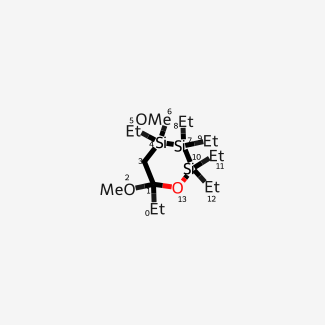 CCC1(OC)C[Si](CC)(OC)[Si](CC)(CC)[Si](CC)(CC)O1